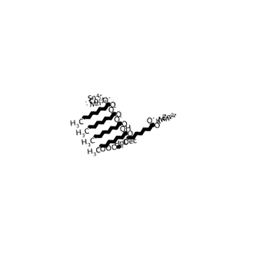 CCCCCCCC(=O)O.CCCCCCCC(=O)[O-].CCCCCCCC(=O)[O-].CCCCCCCC(=O)[O-].CCCCCCCC(=O)[O-].CCCCCCCCCCCC(=O)[O-].[Co+2].[K+].[Mn+2].[Mn+2].[Sn+4].[Zn+2]